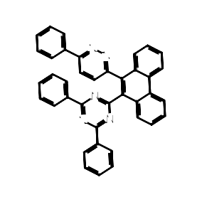 c1ccc(-c2ccc(-c3c(-c4nc(-c5ccccc5)nc(-c5ccccc5)n4)c4ccccc4c4ccccc34)nn2)cc1